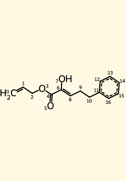 C=CCOC(=O)C(O)=CCCc1ccccc1